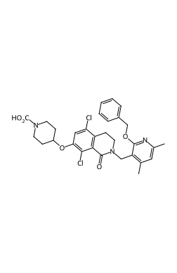 Cc1cc(C)c(CN2CCc3c(Cl)cc(OC4CCN(C(=O)O)CC4)c(Cl)c3C2=O)c(OCc2ccccc2)n1